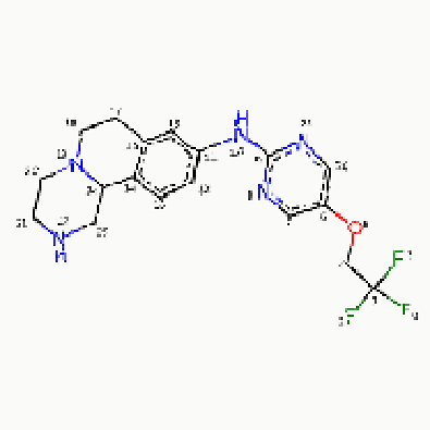 FC(F)(F)COc1cnc(Nc2ccc3c(c2)CCN2CCNCC32)nc1